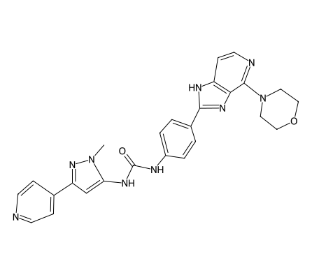 Cn1nc(-c2ccncc2)cc1NC(=O)Nc1ccc(-c2nc3c(N4CCOCC4)nccc3[nH]2)cc1